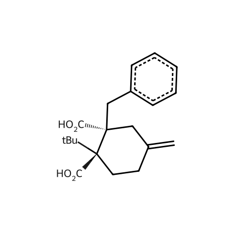 C=C1CC[C@](C(=O)O)(C(C)(C)C)[C@](Cc2ccccc2)(C(=O)O)C1